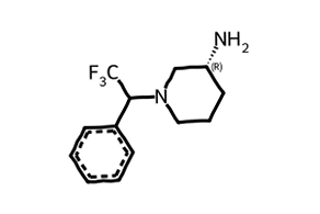 N[C@@H]1CCCN(C(c2ccccc2)C(F)(F)F)C1